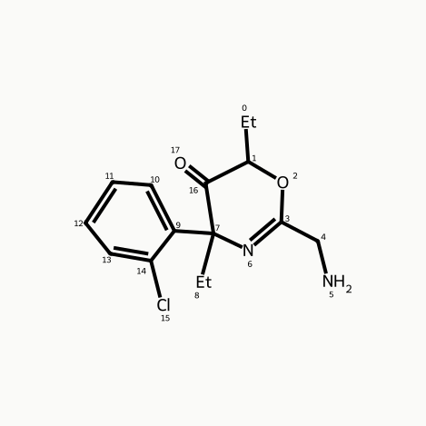 CCC1OC(CN)=NC(CC)(c2ccccc2Cl)C1=O